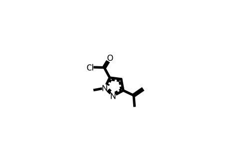 C=C(C)c1cc(C(=O)Cl)n(C)n1